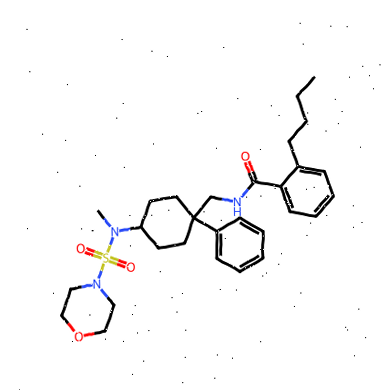 CCCCc1ccccc1C(=O)NCC1(c2ccccc2)CCC(N(C)S(=O)(=O)N2CCOCC2)CC1